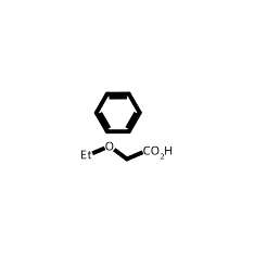 CCOCC(=O)O.c1ccccc1